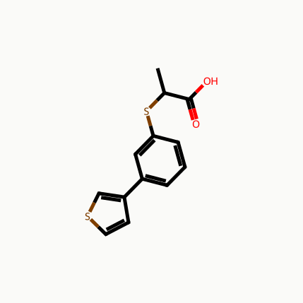 CC(Sc1cccc(-c2ccsc2)c1)C(=O)O